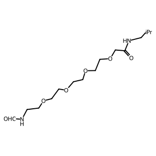 CC(C)CNC(=O)COCCOCCOCCOCCNC=O